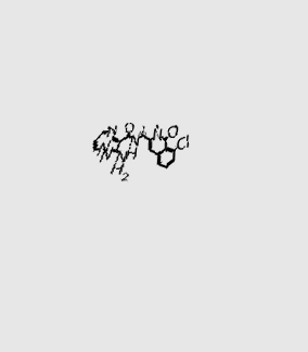 C[C@H](NC(=O)c1c(N)nn2cccnc12)c1cc2cccc(Cl)c2c(=O)n1C